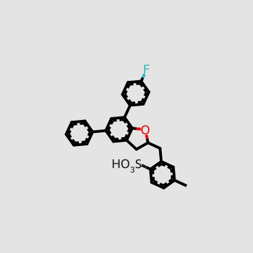 Cc1ccc(S(=O)(=O)O)c(CC2Cc3cc(-c4ccccc4)cc(-c4ccc(F)cc4)c3O2)c1